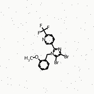 COc1ccccc1Cn1c(-c2ccc(C(F)(F)F)nc2)nc(Br)c1Br